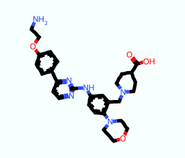 NCCOc1ccc(-c2ccnc(Nc3ccc(N4CCOCC4)c(CN4CCC(C(=O)O)CC4)c3)n2)cc1